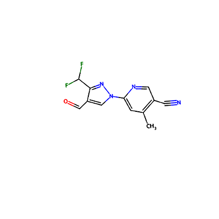 Cc1cc(-n2cc(C=O)c(C(F)F)n2)ncc1C#N